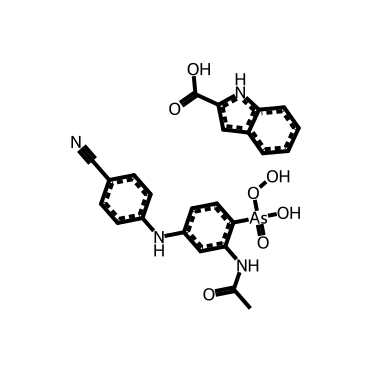 CC(=O)Nc1cc(Nc2ccc(C#N)cc2)ccc1[As](=O)(O)OO.O=C(O)c1cc2ccccc2[nH]1